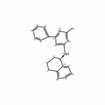 Cc1nc(N[C@@H]2CCCc3ccccc32)cc(-c2ccccc2)n1